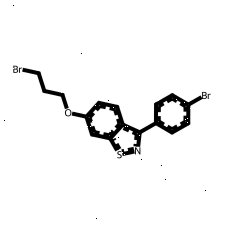 BrCCCOc1ccc2c(-c3ccc(Br)cc3)nsc2c1